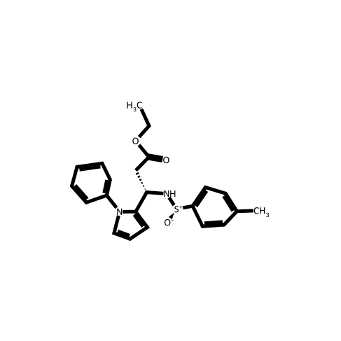 CCOC(=O)C[C@H](N[S@+]([O-])c1ccc(C)cc1)c1cccn1-c1ccccc1